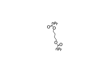 CCCC(=O)OCCCCOC(=O)CCC